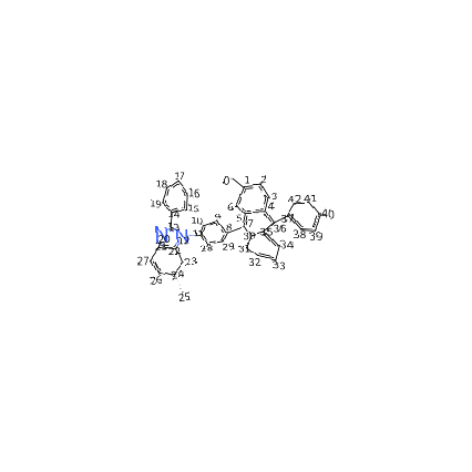 Cc1ccc2c(c1)=C(c1ccc(-n3c(-c4ccccc4)nc4c3C[C@H](C)C=C4)cc1)C1CC=CC=C1C=2C1=CC=CCC1